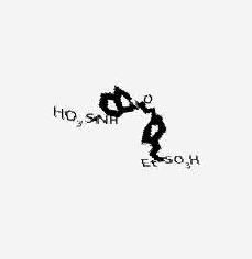 CCC(CCc1ccc(CCC(=O)N2CCc3ccc(NS(=O)(=O)O)cc3C2)cc1)S(=O)(=O)O